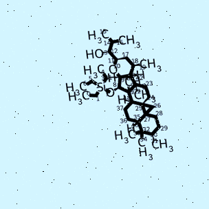 CC[Si](CC)(CC)O[C@H]1[C@H]2O[C@@H]([C@H](O)C(C)C)C[C@@H](C)[C@@H]2[C@@]2(C)CC[C@@]34CC35CC[C@H](C)C(C)(C)[C@@H]5CC[C@H]4[C@]12C